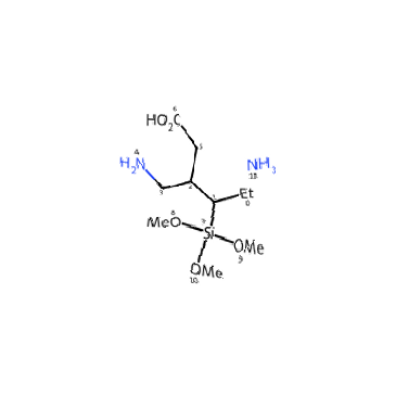 CCC(C(CN)CC(=O)O)[Si](OC)(OC)OC.N